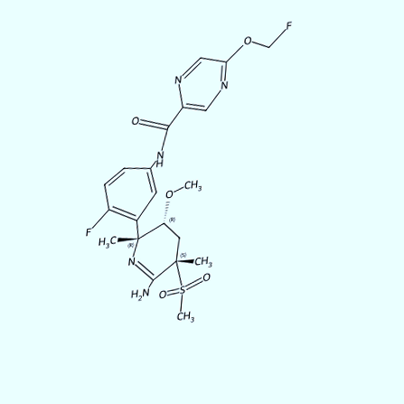 CO[C@@H]1C[C@](C)(S(C)(=O)=O)C(N)=N[C@]1(C)c1cc(NC(=O)c2cnc(OCF)cn2)ccc1F